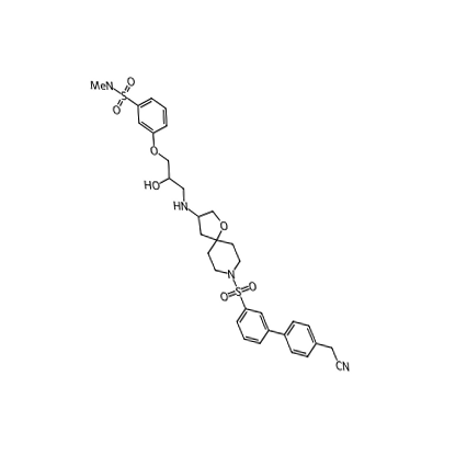 CNS(=O)(=O)c1cccc(OCC(O)CNC2COC3(CCN(S(=O)(=O)c4cccc(-c5ccc(CC#N)cc5)c4)CC3)C2)c1